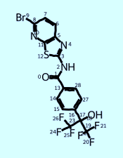 O=C(Nc1nc2ccc(Br)nc2s1)c1ccc(C(O)(C(F)(F)F)C(F)(F)F)cc1